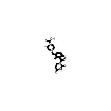 Cc1c(CN2CCN(C(=O)O)[C@@H](C)C2)ccc2onc(N3CCC(=O)NC3=O)c12